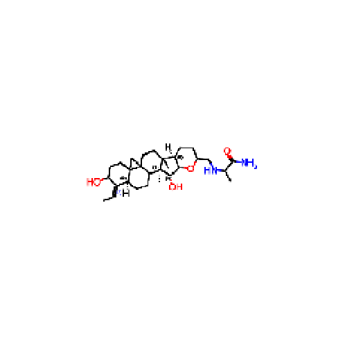 C/C=C1\C(O)CCC23CC24CCC2(C)[C@H]5CCC(CNC(C)C(N)=O)OC5[C@H](O)[C@@]2(C)C4CC[C@@H]13